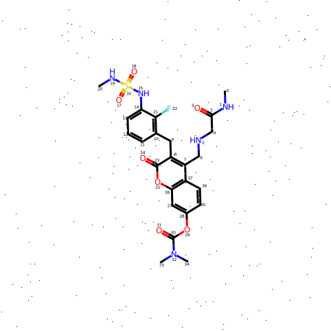 CNC(=O)CNCc1c(Cc2cccc(NS(=O)(=O)NC)c2F)c(=O)oc2cc(OC(=O)N(C)C)ccc12